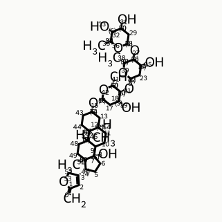 C=C1C=C([C@H]2CC[C@]3(O)C4CC[C@@H]5C[C@@H](O[C@H]6C[C@H](O)[C@H](O[C@H]7C[C@H](O)[C@H](O[C@H]8C[C@H](O)[C@H](O)[C@H](C)O8)[C@@H](C)O7)[C@@H](C)O6)CC[C@]5(C)[C@H]4CC[C@]23C)CO1